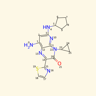 Nc1cc(NC2CCCC2)nc2c1nc(-c1nccs1)c(=O)n2C1CC1